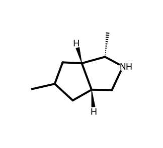 CC1C[C@H]2CN[C@@H](C)[C@H]2C1